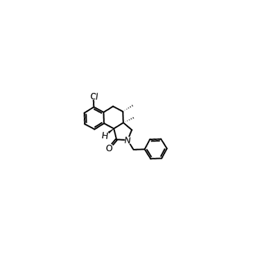 C[C@H]1Cc2c(Cl)cccc2[C@H]2C(=O)N(Cc3ccccc3)C[C@@]21C